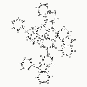 c1ccc(-c2ccc(-c3nc(-c4ccc5c6ccccc6n(-c6ccccc6)c5c4)nc(-c4c(-n5c6cc7ccccc7cc6c6c7ccccc7ccc65)ccc5oc6ccccc6c45)n3)cc2)cc1